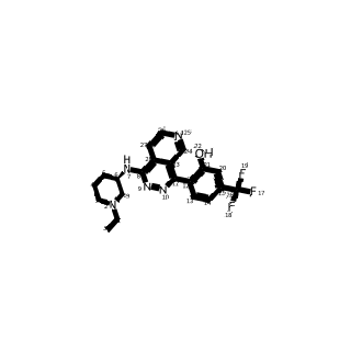 CCN1CCC[C@@H](Nc2nnc(-c3ccc(C(F)(F)F)cc3O)c3cnccc23)C1